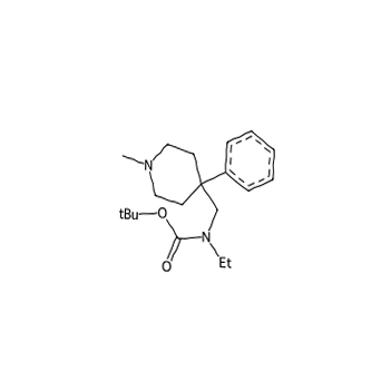 CCN(CC1(c2ccccc2)CCN(C)CC1)C(=O)OC(C)(C)C